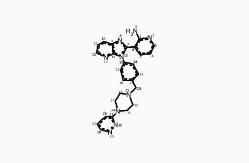 Nc1ncccc1-c1nc2cccnc2n1-c1ccc(CN2CCN(c3cccnn3)CC2)cc1